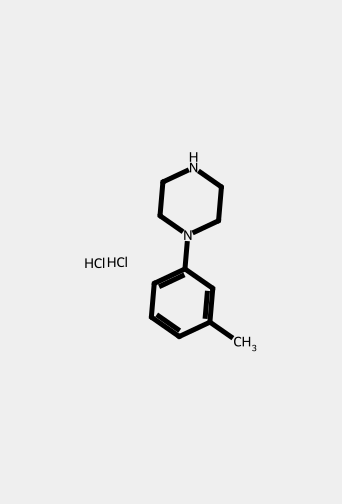 Cc1cccc(N2CCNCC2)c1.Cl.Cl